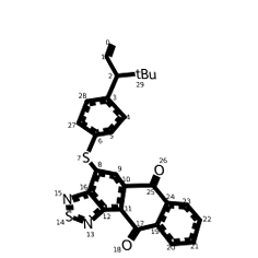 C=CC(c1ccc(Sc2cc3c(c4nsnc24)C(=O)c2ccccc2C3=O)cc1)C(C)(C)C